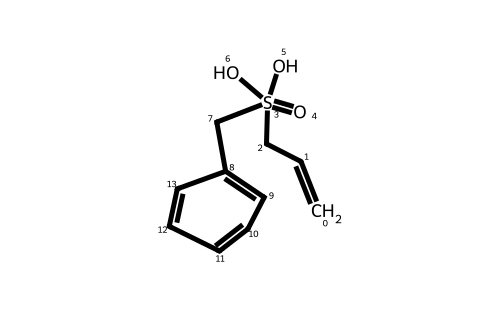 C=CCS(=O)(O)(O)Cc1ccccc1